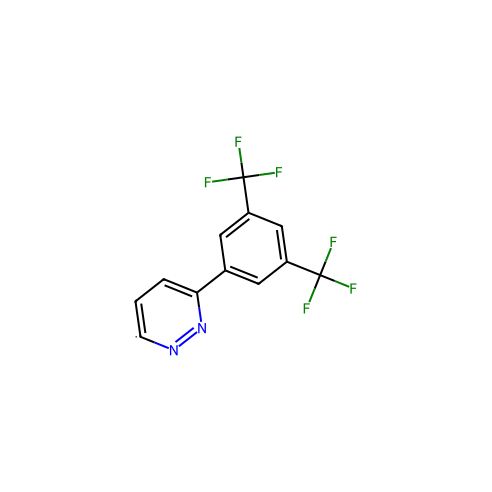 FC(F)(F)c1cc(-c2cc[c]nn2)cc(C(F)(F)F)c1